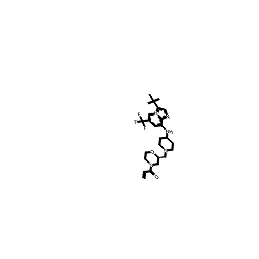 C=CC(=O)N1CCO[C@@H](CN2CCC(Nc3cc(C(F)(F)F)cn4c(C(C)(C)C)cnc34)CC2)C1